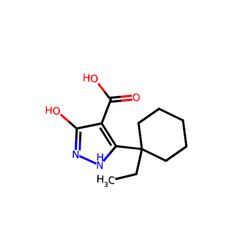 CCC1(c2[nH]nc(O)c2C(=O)O)CCCCC1